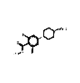 CCCCC[C@H]1CC[C@H](c2cc(F)c(C(=O)OCCC)c(F)c2)CC1